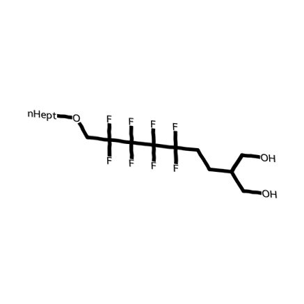 CCCCCCCOCC(F)(F)C(F)(F)C(F)(F)C(F)(F)CCC(CO)CO